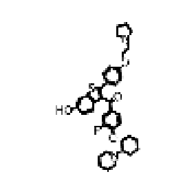 O=C(c1ccc(O[C@@H]2CCCC[C@H]2N2CCCCC2)c(F)c1)c1c(-c2ccc(OCCN3CCCC3)cc2)sc2cc(O)ccc12